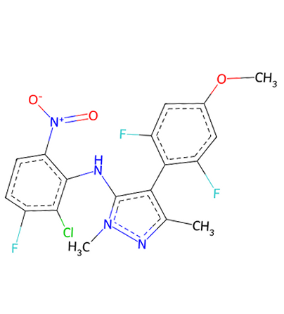 COc1cc(F)c(-c2c(C)nn(C)c2Nc2c([N+](=O)[O-])ccc(F)c2Cl)c(F)c1